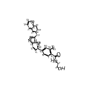 O=C(NCCO)c1ccc(-c2ccc3nnc(Cc4ccc5ncccc5c4)n3n2)cc1F